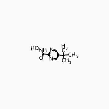 CC(C)(C)c1cnc(C(=O)NO)nc1